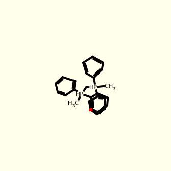 C[PH](C[PH](C)(c1ccccc1)c1ccccc1)(c1ccccc1)c1ccccc1